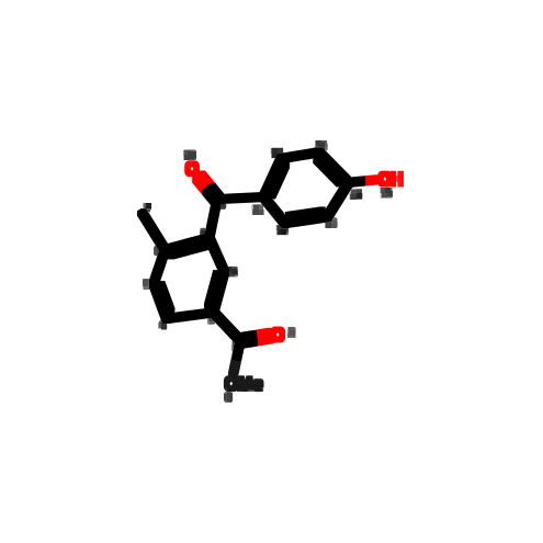 COC(=O)c1ccc(C)c(C(=O)c2ccc(O)cc2)c1